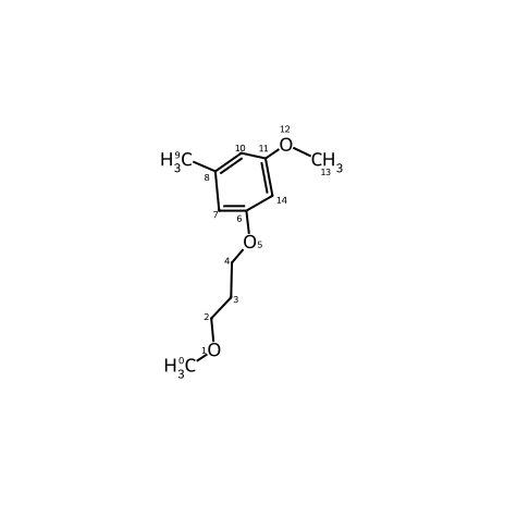 COCCCOc1cc(C)cc(OC)c1